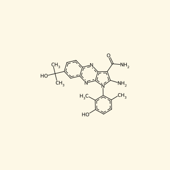 Cc1ccc(O)c(C)c1-n1c(N)c(C(N)=O)c2nc3ccc(C(C)(C)O)cc3nc21